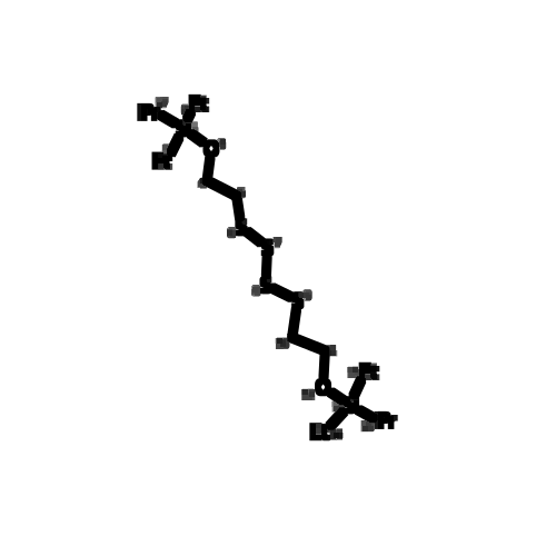 CC[Si](CC)(OCCSSSSCCO[Si](CC)(CC)C(C)C)C(C)C